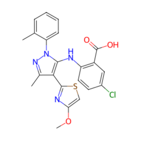 COc1csc(-c2c(C)nn(-c3ccccc3C)c2Nc2ccc(Cl)cc2C(=O)O)n1